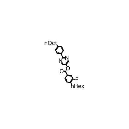 CCCCCCCCc1ccc(-c2ncc(OC(=O)c3ccc(CCCCCC)c(F)c3)cn2)cc1